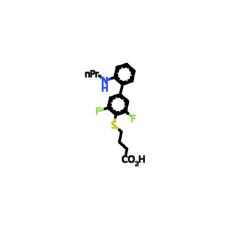 CCCNc1ccccc1-c1cc(F)c(SCCCC(=O)O)c(F)c1